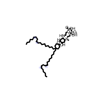 C=P(O)(OC)OCCN(C)[C@@H]1C[C@@H]2OC3(CCC(CCCCCCCC/C=C\C/C=C\CCCCC)(CCCCCCCC/C=C\C/C=C\CCCCC)CC3)O[C@H]2C[C@@H]1NCCOP(O)OC